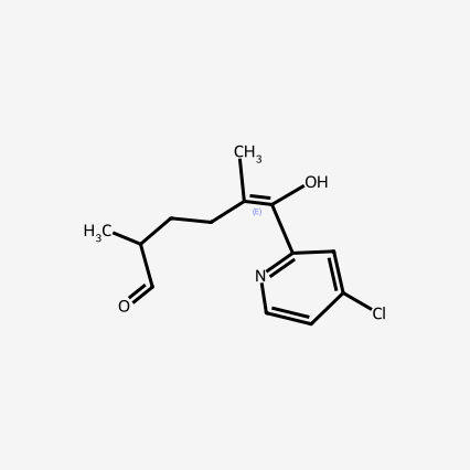 C/C(CCC(C)C=O)=C(\O)c1cc(Cl)ccn1